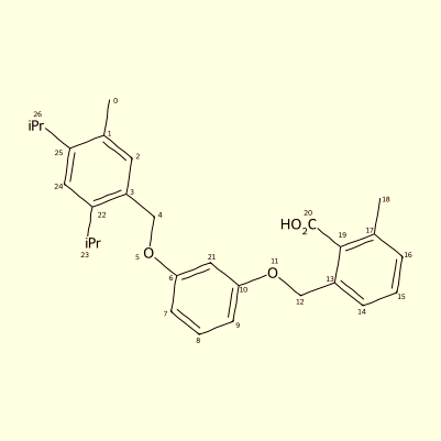 Cc1cc(COc2cccc(OCc3cccc(C)c3C(=O)O)c2)c(C(C)C)cc1C(C)C